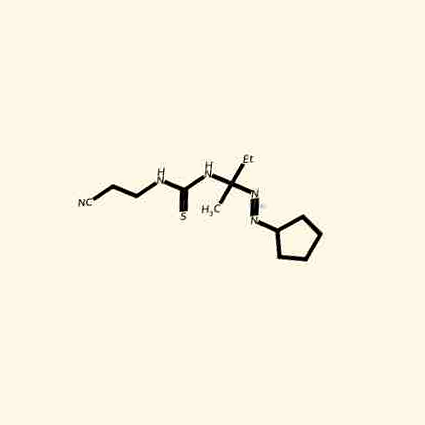 CCC(C)(/N=N/C1CCCC1)NC(=S)NCCC#N